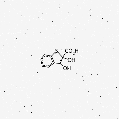 O=C(O)C1(O)Sc2ccccc2C1O